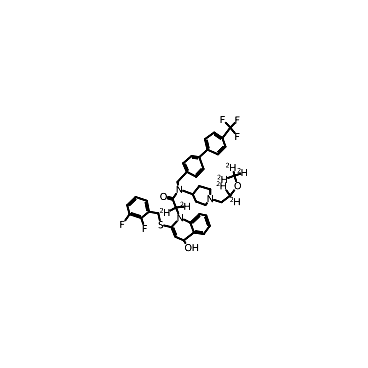 [2H]C([2H])([2H])OC([2H])([2H])CN1CCC(N(Cc2ccc(-c3ccc(C(F)(F)F)cc3)cc2)C(=O)C([2H])([2H])N2C(SCc3cccc(F)c3F)=CC(O)c3ccccc32)CC1